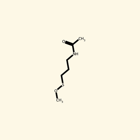 COSCCCNC(C)=O